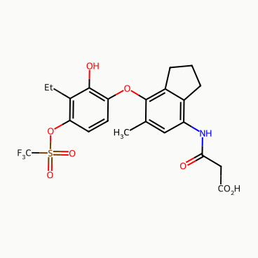 CCc1c(OS(=O)(=O)C(F)(F)F)ccc(Oc2c(C)cc(NC(=O)CC(=O)O)c3c2CCC3)c1O